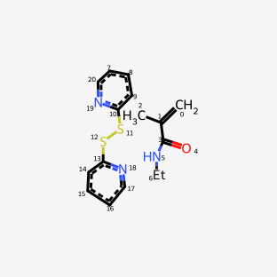 C=C(C)C(=O)NCC.c1ccc(SSc2ccccn2)nc1